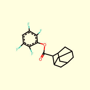 O=C(Oc1c(F)c(F)[c]c(F)c1F)C1C2CC3CC(C2)CC1C3